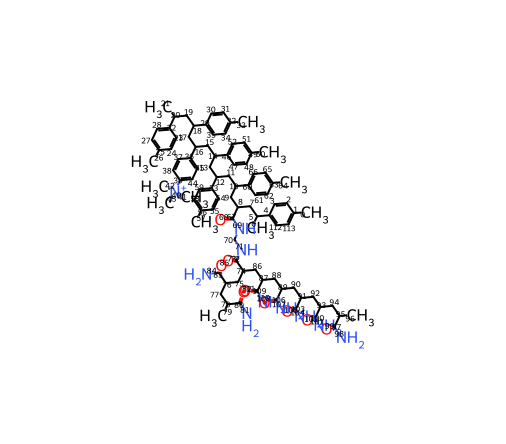 Cc1ccc(C(C)CC(CC(CC(CC(CC(CC(CC(C)c2ccc(C)cc2)c2ccc(C)cc2)c2ccc([N+](C)(C)C)cc2)c2ccc(C)cc2)c2ccc(C)cc2)c2ccc(C)cc2)C(=O)NCNC(=O)C(CC(CC(C)C(N)=O)C(N)=O)CC(CC(CC(CC(CC(C)C(N)=O)C(N)=O)C(N)=O)C(N)=O)C(N)=O)cc1